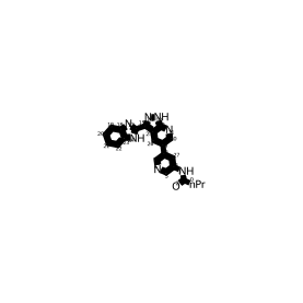 CCCC(=O)Nc1cncc(-c2cnc3[nH]nc(-c4nc5ccccc5[nH]4)c3c2)c1